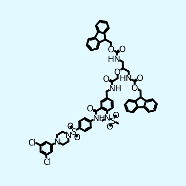 CN(c1ccc(CNC(=O)COC(CNC(=O)OCC2c3ccccc3-c3ccccc32)CNC(=O)OCC2c3ccccc3-c3ccccc32)cc1C(=O)Nc1ccc(S(=O)(=O)N2CCN(c3cc(Cl)cc(Cl)c3)CC2)cc1)S(C)(=O)=O